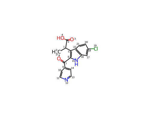 CC(C(=O)O)c1c(C(=O)c2ccncc2)[nH]c2cc(Cl)ccc12